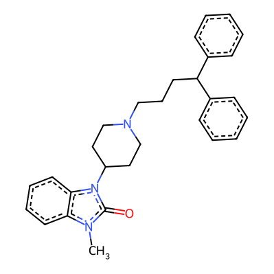 Cn1c(=O)n(C2CCN(CCCC(c3ccccc3)c3ccccc3)CC2)c2ccccc21